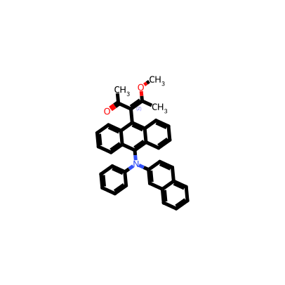 CO/C(C)=C(\C(C)=O)c1c2ccccc2c(N(c2ccccc2)c2ccc3ccccc3c2)c2ccccc12